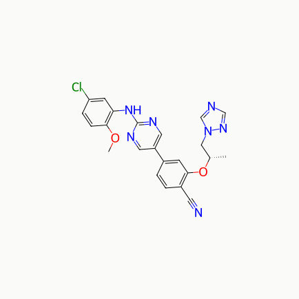 COc1ccc(Cl)cc1Nc1ncc(-c2ccc(C#N)c(O[C@@H](C)Cn3cncn3)c2)cn1